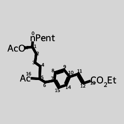 CCCCCC(CCCC(Cc1ccc(C=CC(=O)OCC)cc1)C(C)=O)OC(C)=O